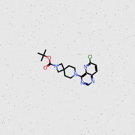 CC(C)(C)OC(=O)N1CC2(CCN(c3ncnc4ccc(Cl)nc34)CC2)C1